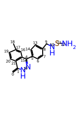 C=C1NN=C(c2ccc(CNSN)cc2)c2cc(C)ccc21